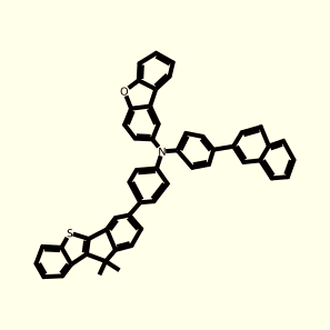 CC1(C)c2ccc(-c3ccc(N(c4ccc(-c5ccc6ccccc6c5)cc4)c4ccc5oc6ccccc6c5c4)cc3)cc2-c2sc3ccccc3c21